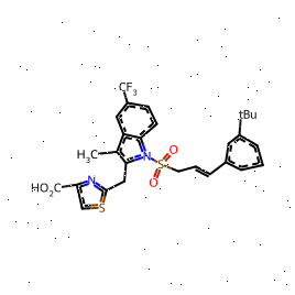 Cc1c(Cc2nc(C(=O)O)cs2)n(S(=O)(=O)CC=Cc2cccc(C(C)(C)C)c2)c2ccc(C(F)(F)F)cc12